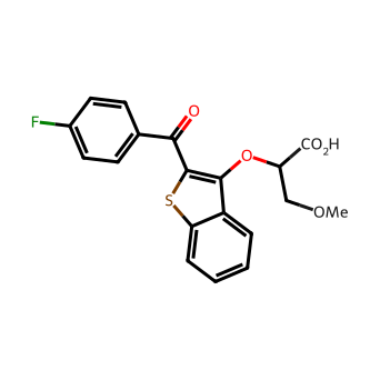 COCC(Oc1c(C(=O)c2ccc(F)cc2)sc2ccccc12)C(=O)O